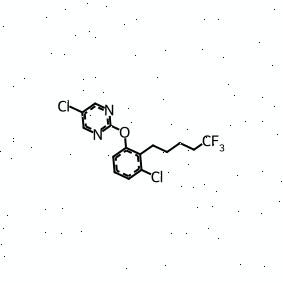 FC(F)(F)CCCCc1c(Cl)cccc1Oc1ncc(Cl)cn1